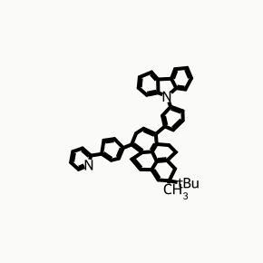 CC(C)(C)C1(C)C=c2ccc3c4c2=C(CCC=4C(c2cccc(-n4c5ccccc5c5ccccc54)c2)=CCC=3c2ccc(-c3ccccn3)cc2)C1